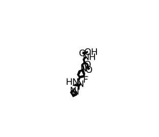 O=C(O)NCC1CN(c2ccc(-c3nc(Cn4cccn4)c[nH]3)c(F)c2)C(=O)O1